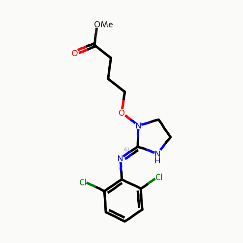 COC(=O)CCCON1CCN/C1=N\c1c(Cl)cccc1Cl